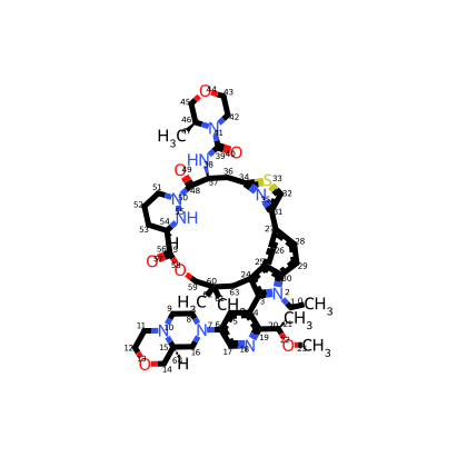 CCn1c(-c2cc(N3CCN4CCOC[C@@H]4C3)cnc2[C@H](C)OC)c2c3cc(ccc31)-c1csc(n1)C[C@H](NC(=O)N1CCOC[C@@H]1C)C(=O)N1CCC[C@H](N1)C(=O)OCC(C)(C)C2